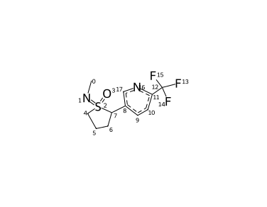 CN=S1(=O)CCCC1c1ccc(C(F)(F)F)nc1